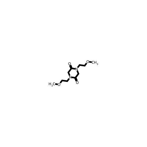 COCCN1CC(=O)N(CCOC)CC1=O